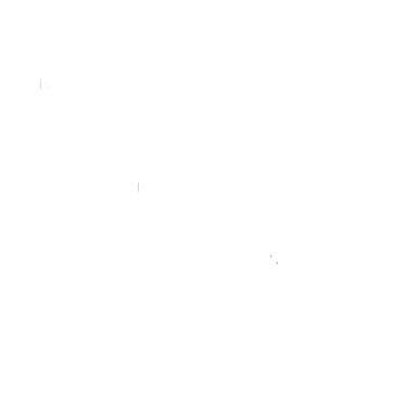 BrCCCC(Br)CCc1cccc2c1[nH]c1ccccc12